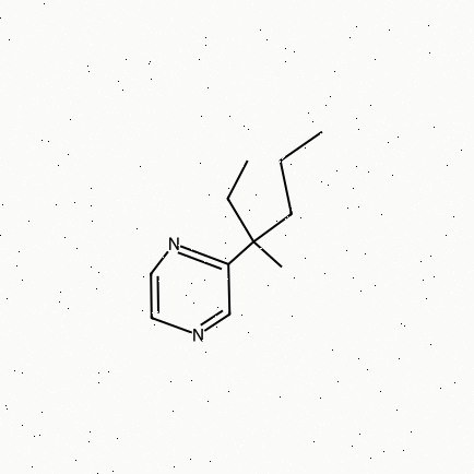 CCCC(C)(CC)c1cnccn1